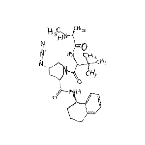 CN[C@@H](C)C(=O)N[C@H](C(=O)N1C[C@@H](N=[N+]=[N-])C[C@H]1C(=O)N[C@@H]1CCCc2ccccc21)C(C)(C)C